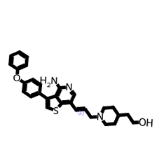 Nc1ncc(/C=C/CN2CCC(CCO)CC2)c2scc(-c3ccc(Oc4ccccc4)cc3)c12